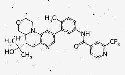 Cc1ccc(NC(=O)c2ccnc(C(F)(F)F)c2)cc1-c1cnc2c(c1)N1CCOC[C@@H]1[C@@H](C(C)(C)O)C2